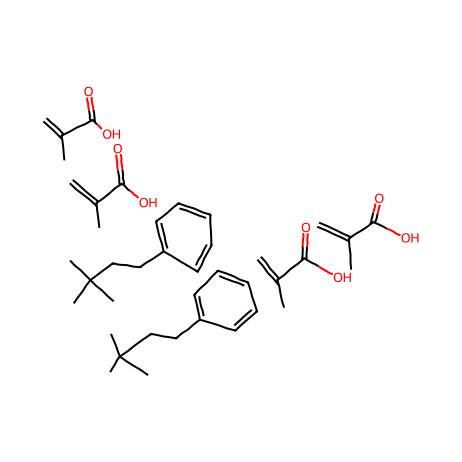 C=C(C)C(=O)O.C=C(C)C(=O)O.C=C(C)C(=O)O.C=C(C)C(=O)O.CC(C)(C)CCc1ccccc1.CC(C)(C)CCc1ccccc1